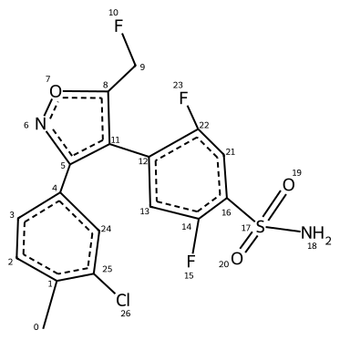 Cc1ccc(-c2noc(CF)c2-c2cc(F)c(S(N)(=O)=O)cc2F)cc1Cl